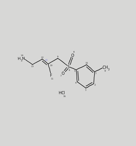 Cc1cccc(S(=O)(=O)C/C(F)=C/CN)c1.Cl